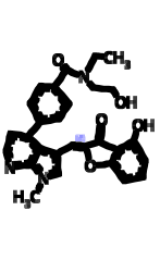 CCN(CCO)C(=O)c1ccc(-c2ccnc3c2c(/C=C2\Oc4cccc(O)c4C2=O)cn3C)cc1